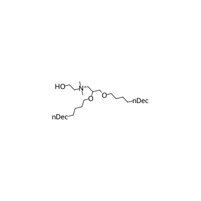 CCCCCCCCCCCCCCOCC(C[N+](C)(C)CCO)OCCCCCCCCCCCCCC